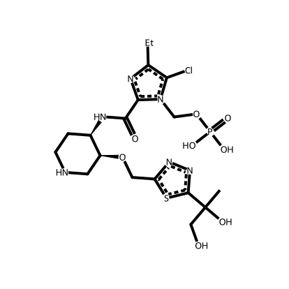 CCc1nc(C(=O)N[C@@H]2CCNC[C@@H]2OCc2nnc(C(C)(O)CO)s2)n(COP(=O)(O)O)c1Cl